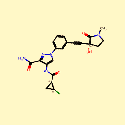 CN1CC[C@@](O)(C#Cc2cccc(-n3cc(NC(=O)[C@@H]4C[C@@H]4F)c(C(N)=O)n3)c2)C1=O